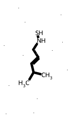 CC(C)/C=C/CNS